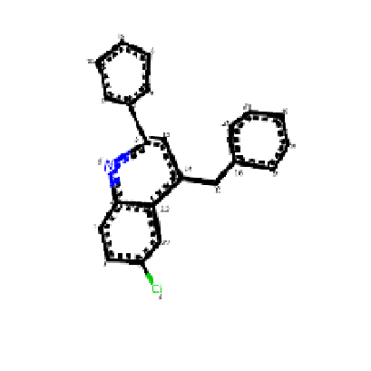 Clc1ccc2nc(-c3ccccc3)cc(Cc3ccccc3)c2c1